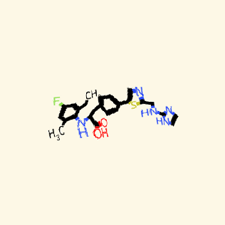 CCc1cc(F)cc(C)c1NC(Cc1ccc(-c2cnc(CNc3ncc[nH]3)s2)cc1)C(=O)O